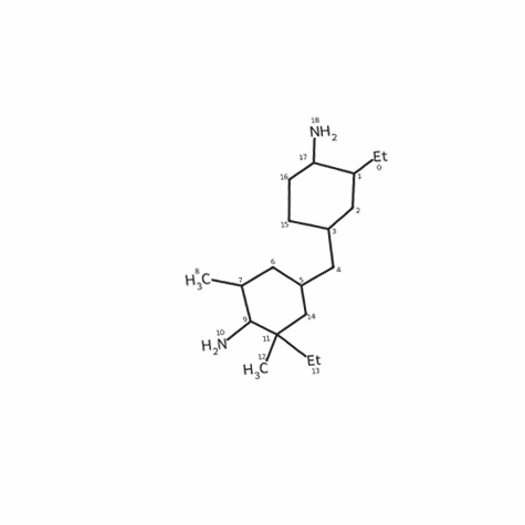 CCC1CC(CC2CC(C)C(N)C(C)(CC)C2)CCC1N